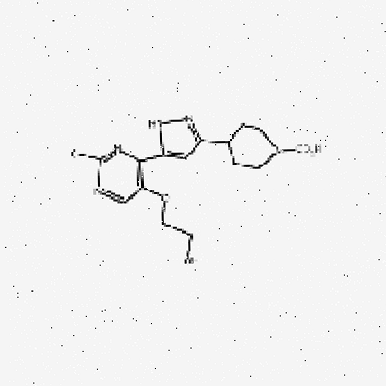 O=C(O)N1CCC(c2cc(-c3nc(Cl)ncc3OCCO)[nH]n2)CC1